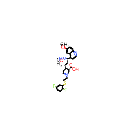 CON[C@@H](CC[C@@H]1CCN(CCSc2cc(F)ccc2F)C[C@@H]1C(=O)O)c1ccnc2ccc(OC)cc12